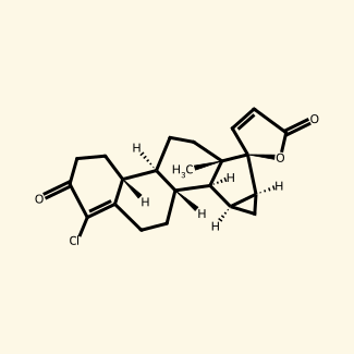 C[C@]12CC[C@H]3[C@@H](CCC4=C(Cl)C(=O)CC[C@@H]43)[C@@H]1[C@@H]1C[C@@H]1[C@@]21C=CC(=O)O1